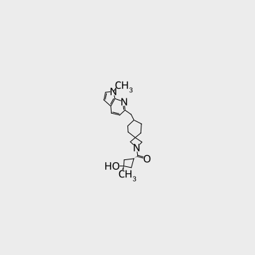 Cn1ccc2ccc(CC3CCC4(CC3)CN(C(=O)[C@H]3C[C@@](C)(O)C3)C4)nc21